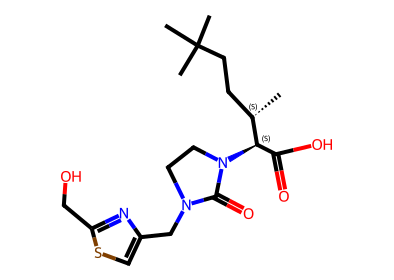 C[C@@H](CCC(C)(C)C)[C@@H](C(=O)O)N1CCN(Cc2csc(CO)n2)C1=O